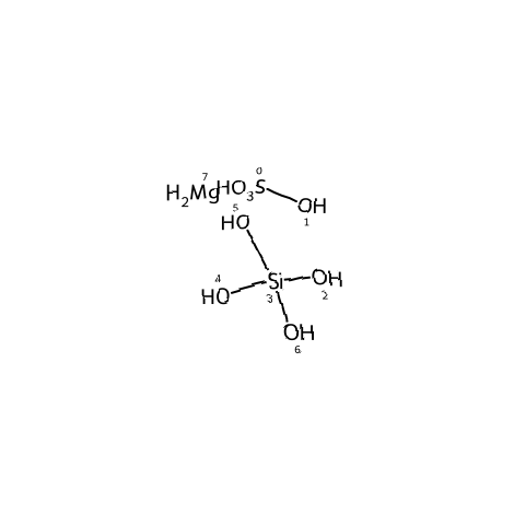 O=S(=O)(O)O.O[Si](O)(O)O.[MgH2]